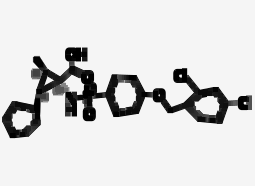 C[C@@H]1[C@H](c2ccccc2)[C@]1(NS(=O)(=O)c1ccc(OCc2ccc(Cl)cc2Cl)cc1)C(=O)O